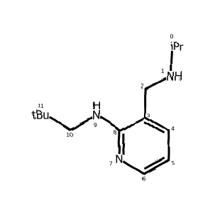 CC(C)NCc1cccnc1NCC(C)(C)C